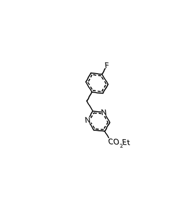 CCOC(=O)c1cnc(Cc2ccc(F)cc2)nc1